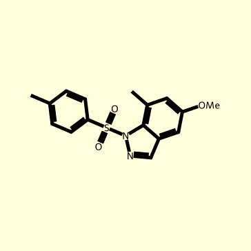 COc1cc(C)c2c(cnn2S(=O)(=O)c2ccc(C)cc2)c1